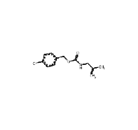 C=C(C)CNC(=O)OCc1ccc(Cl)cc1